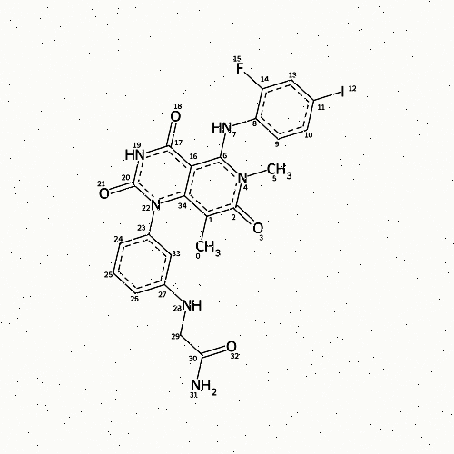 Cc1c(=O)n(C)c(Nc2ccc(I)cc2F)c2c(=O)[nH]c(=O)n(-c3cccc(NCC(N)=O)c3)c12